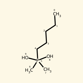 CCCCCP(C)(C)(O)O